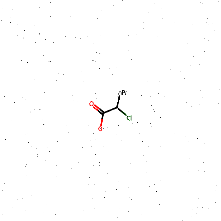 CCCC(Cl)C([O])=O